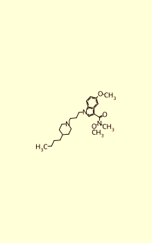 CCCCC1CCN(CCCn2cc(C(=O)N(C)OC)c3cc(OC)ccc32)CC1